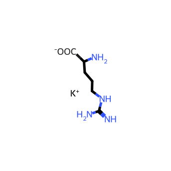 N=C(N)NCCCC(N)C(=O)[O-].[K+]